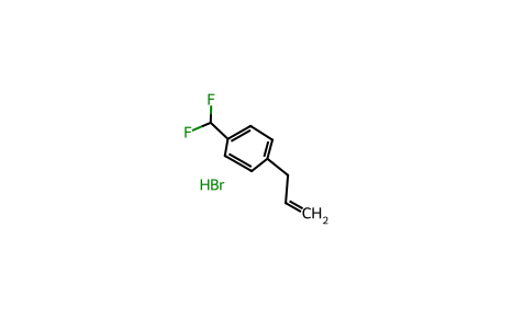 Br.C=CCc1ccc(C(F)F)cc1